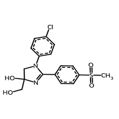 CS(=O)(=O)c1ccc(C2=NC(O)(CO)CN2c2ccc(Cl)cc2)cc1